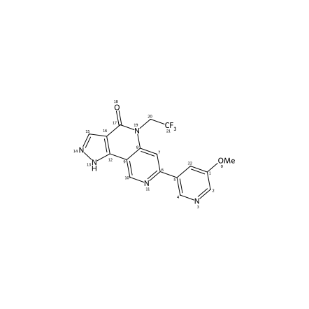 COc1cncc(-c2cc3c(cn2)c2[nH]ncc2c(=O)n3CC(F)(F)F)c1